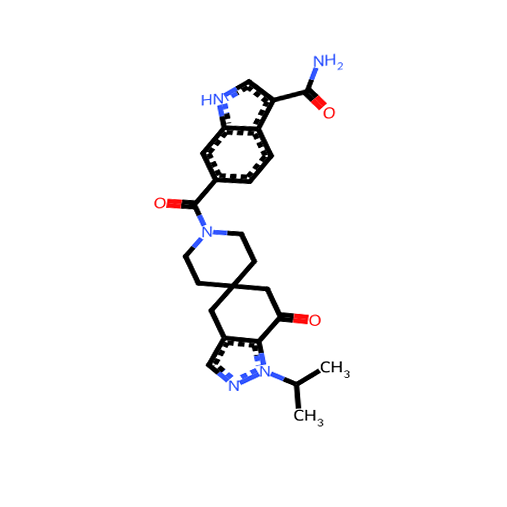 CC(C)n1ncc2c1C(=O)CC1(CCN(C(=O)c3ccc4c(C(N)=O)c[nH]c4c3)CC1)C2